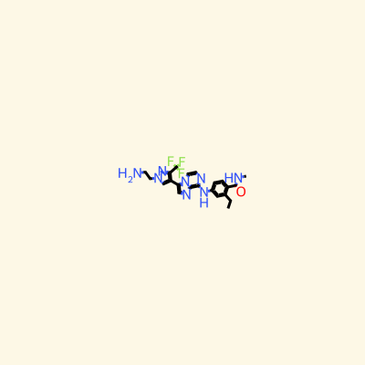 CCc1cc(Nc2nccn3c(-c4cn(CCN)nc4C(F)(F)F)cnc23)ccc1C(=O)NC